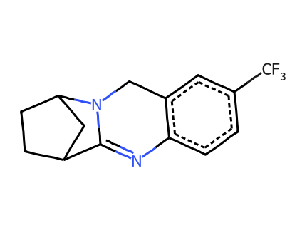 FC(F)(F)c1ccc2c(c1)CN1C(=N2)C2CCC1C2